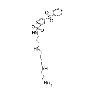 NCCCNCCCCNCCCNS(=O)(=O)c1cc(S(=O)(=O)c2ccccc2)cs1